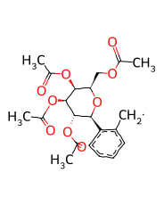 [CH2]c1ccccc1[C@@H]1O[C@H](COC(C)=O)[C@H](OC(C)=O)[C@H](OC(C)=O)[C@H]1OC(C)=O